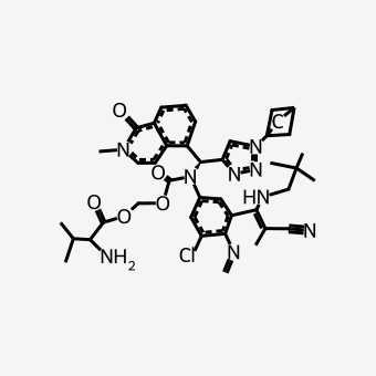 C=Nc1c(Cl)cc(N(C(=O)OCOC(=O)C(N)C(C)C)[C@H](c2cn(C34CC(C3)C4)nn2)c2cccc3c(=O)n(C)ccc23)cc1/C(NCC(C)(C)C)=C(\C)C#N